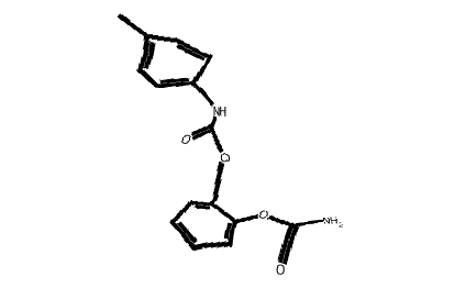 Cc1ccc(NC(=O)Oc2ccccc2OC(N)=O)cc1